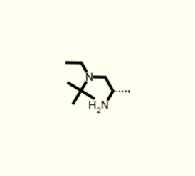 CCN(C[C@H](C)N)C(C)(C)C